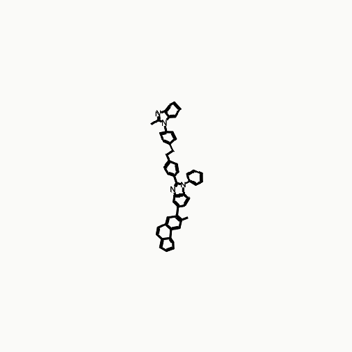 Cc1cc2c(ccc3ccccc32)cc1-c1ccc2c(c1)nc(-c1ccc(CCc3ccc(-n4c(C)nc5ccccc54)cc3)cc1)n2-c1ccccc1